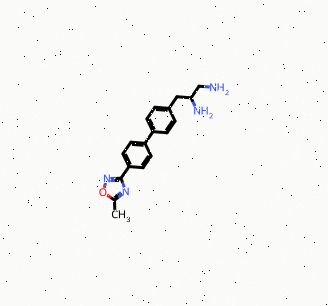 Cc1nc(-c2ccc(-c3ccc(CC(N)CN)cc3)cc2)no1